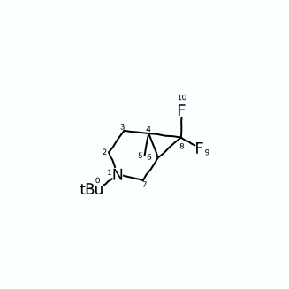 CC(C)(C)N1CCC2(C)C(C1)C2(F)F